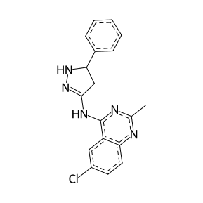 Cc1nc(NC2=NNC(c3ccccc3)C2)c2cc(Cl)ccc2n1